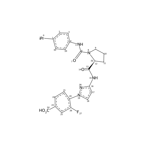 CC(C)c1ccc(NC(=O)N2CCC[C@H]2C(=O)Nc2ccn(-c3ccc(C(=O)O)cc3F)n2)cc1